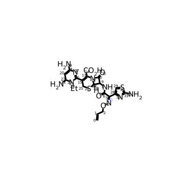 C=CCO/N=C(\C(=O)NC1C(=O)N2C(C(=O)O)=C(C3=NC(N)=CC(N)N3CC)CS[C@@H]12)c1csc(N)n1